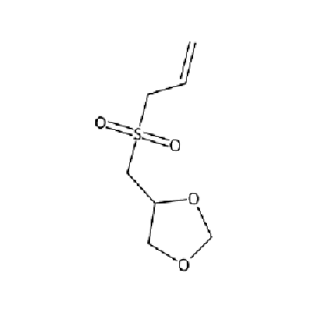 C=CCS(=O)(=O)CC1COCO1